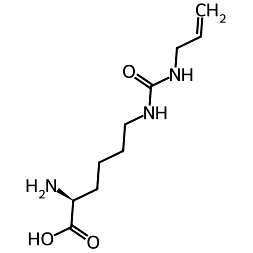 C=CCNC(=O)NCCCC[C@H](N)C(=O)O